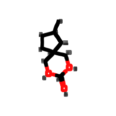 CC1CCC2(COC(=O)OC2)C1